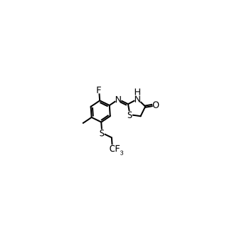 Cc1cc(F)c(/N=C2/NC(=O)CS2)cc1SCC(F)(F)F